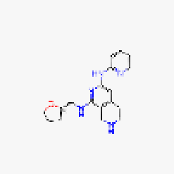 Cc1ccnc(Nc2cc3c(c(NC[C@H]4CCCO4)n2)CNC=C3)c1